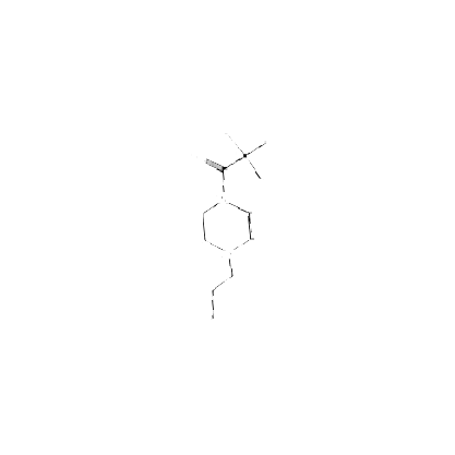 CCCN1CCN(C(=O)C(C)(C)C)CC1